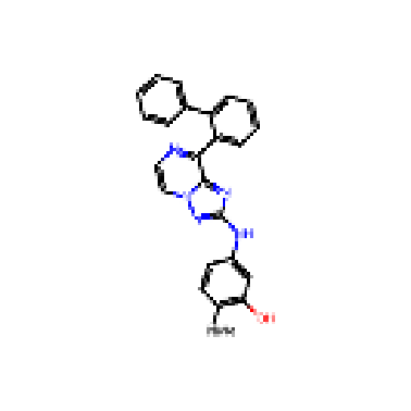 CNc1ccc(Nc2nc3c(-c4ccccc4-c4ccccc4)nccn3n2)cc1O